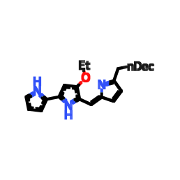 CCCCCCCCCCCC1=NC(=Cc2[nH]c(-c3ccc[nH]3)cc2OCC)C=C1